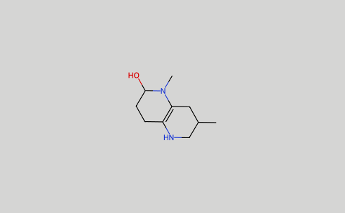 CC1CNC2=C(C1)N(C)C(O)CC2